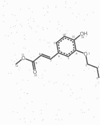 CCCOc1cc(/C=C/C(=O)OC)ccc1O